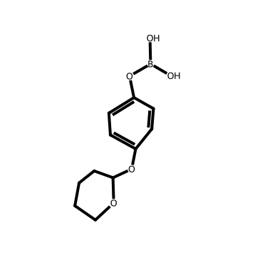 OB(O)Oc1ccc(OC2CCCCO2)cc1